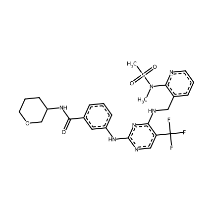 CN(c1ncccc1CNc1nc(Nc2cccc(C(=O)NC3CCCOC3)c2)ncc1C(F)(F)F)S(C)(=O)=O